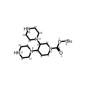 CC(C)(C)OC(=O)N1CCC(N2CCNCC2)C(N2CCNCC2)C1